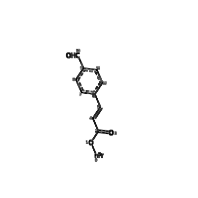 CCCOC(=O)/C=C/c1ccc(C=O)cc1